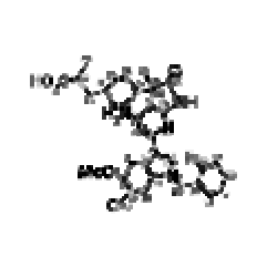 COc1cc2c(-c3nc(N)c4c(n3)NC(=O)[C@@]4(C)c3ccc(CC(C)C(=O)O)cc3)nn(Cc3ccccc3F)c2cc1Cl